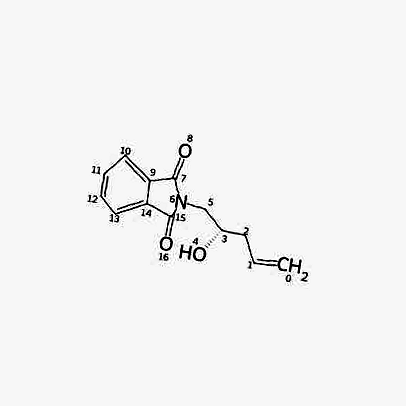 C=CC[C@H](O)CN1C(=O)c2ccccc2C1=O